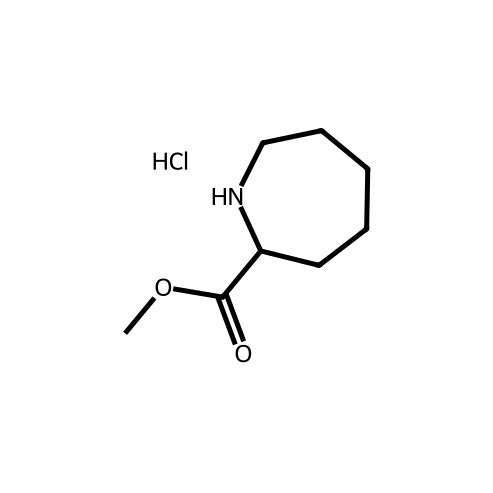 COC(=O)C1CCCCCN1.Cl